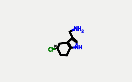 NCc1c[nH]c2c1C[C@H](Cl)CC2